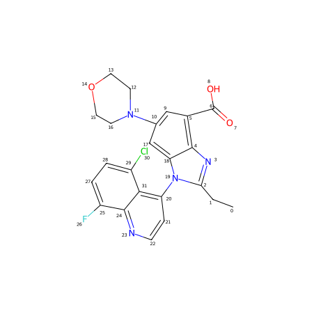 CCc1nc2c(C(=O)O)cc(N3CCOCC3)cc2n1-c1ccnc2c(F)ccc(Cl)c12